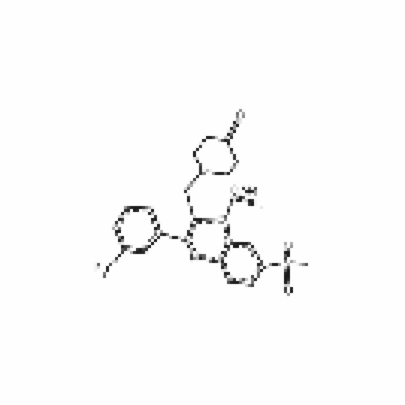 COC(=O)c1c(CN2CCC(=O)CC2)c(-c2cccc(C(F)(F)F)c2)nc2ccc(S(C)(=O)=O)cc12